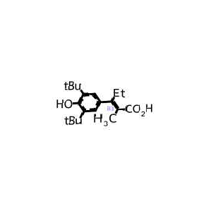 CC/C(=C(/C)C(=O)O)c1cc(C(C)(C)C)c(O)c(C(C)(C)C)c1